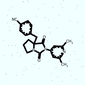 Cc1cc(N2C(=O)N3CCCC3(Cc3ccc(C#N)cc3)C2=O)cc(C)n1